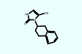 N#Cc1c[nH]c(=S)n1C1CCc2ccccc2C1